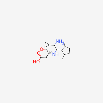 CC1CCC(C)C1C(N[C@H](C=O)CC(=O)O)C(N)C1CC1